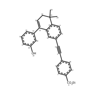 CCOC(=O)c1ccc(C#Cc2ccc3c(c2)C(c2cccc(O)c2)=CCC3(C)C)cc1